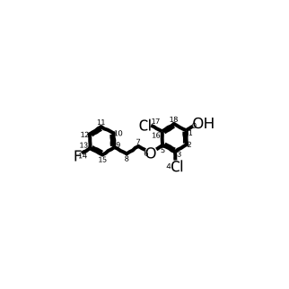 Oc1cc(Cl)c(OCCc2cccc(F)c2)c(Cl)c1